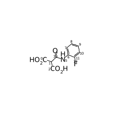 O=C(O)C(C(=O)O)C(=O)Nc1ccccc1F